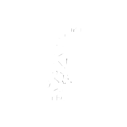 CCCCc1ccc(OC(=O)c2ccc(C3CCC(CC(C)CC)CC3)cc2)c(C#N)c1